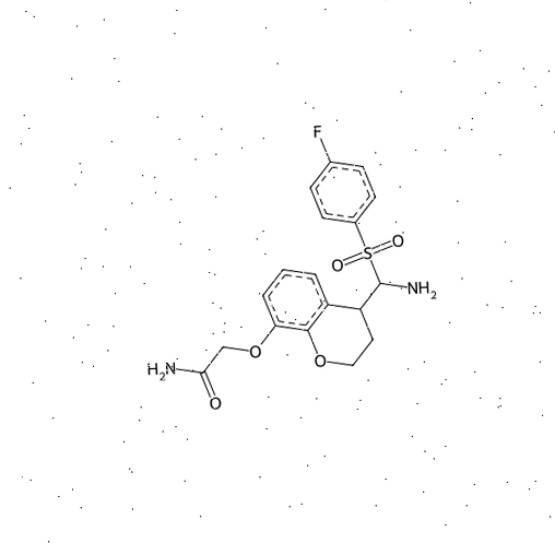 NC(=O)COc1cccc2c1OCCC2C(N)S(=O)(=O)c1ccc(F)cc1